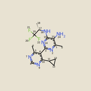 Cc1nc(-c2c(C)ncnc2C2CC2)nc(N[C@@H](C)C(F)(F)F)c1N